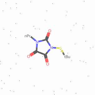 CCCN1C(=O)C(=O)N(SC(C)(C)C)C1=O